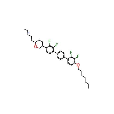 C/C=C/CCC1CCC(c2ccc(-c3ccc(-c4ccc(OCCCCCCC)c(F)c4F)cc3)c(F)c2F)CO1